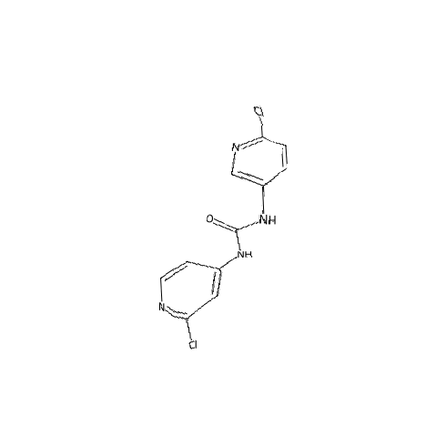 O=C(Nc1ccc(Cl)nc1)Nc1ccnc(Cl)c1